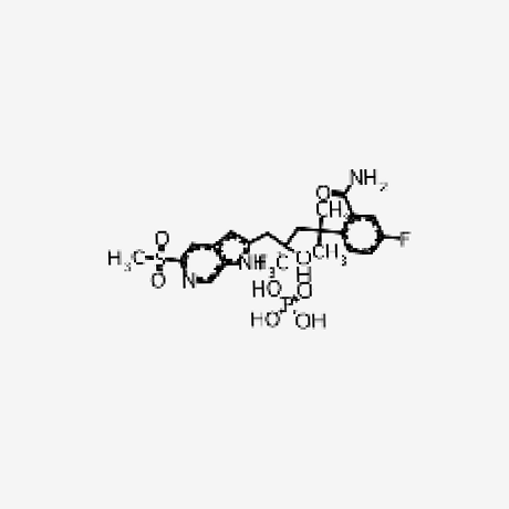 CC(C)(C[C@@](O)(Cc1cc2cc(S(C)(=O)=O)ncc2[nH]1)C(F)(F)F)c1ccc(F)cc1C(N)=O.O=P(O)(O)O